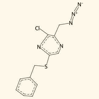 [N-]=[N+]=NCc1ncc(SCc2ccccc2)nc1Cl